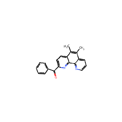 Cc1c(C)c2ccc(C(=O)c3ccccc3)nc2c2ncccc12